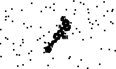 COc1ccc2nccc([C@@H](F)CC[C@@H]3CCN(CCCSc4ccsc4)C[C@@H]3C(=O)O)c2c1